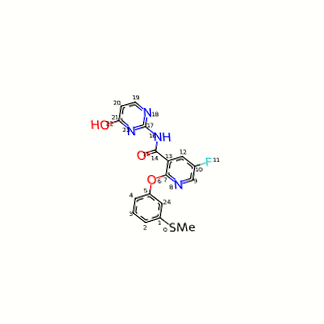 CSc1cccc(Oc2ncc(F)cc2C(=O)Nc2nccc(O)n2)c1